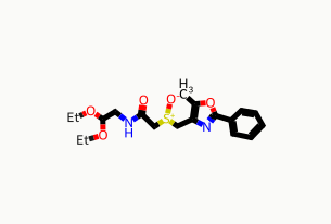 CCOC(CNC(=O)C[S+]([O-])Cc1nc(-c2ccccc2)oc1C)OCC